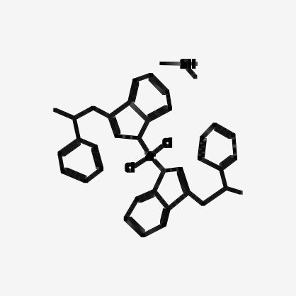 CC(CC1=C[CH]([Zr]([Cl])([Cl])[CH]2C=C(CC(C)c3ccccc3)c3ccccc32)c2ccccc21)c1ccccc1.C[SiH]C